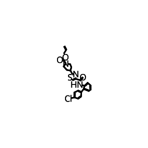 C=CCOC(=O)N1CCC(c2nc(C(=O)Nc3ccccc3-c3ccc(Cl)cc3)cs2)CC1